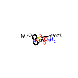 CCCCCC#CCC(Cc1cccnc1)(C(=O)ON)S(=O)(=O)c1ccc(OC)cc1